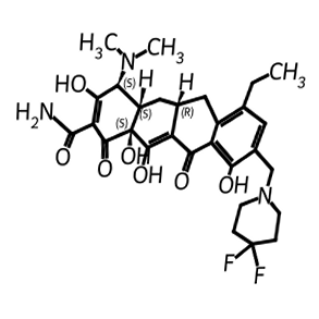 CCc1cc(CN2CCC(F)(F)CC2)c(O)c2c1C[C@H]1C[C@H]3[C@H](N(C)C)C(O)=C(C(N)=O)C(=O)[C@@]3(O)C(O)=C1C2=O